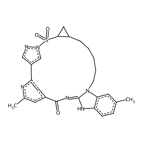 Cc1ccc2c(c1)N1CCCCCC3CC3S(=O)(=O)n3cc(cn3)-c3cc(cc(C)n3)C(=O)/N=C/1N2